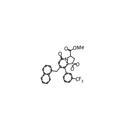 COC(=O)C1CS(=O)(=O)c2c(-c3cccc(C(F)(F)F)c3)c(Cc3cccc4ccccc34)cc(=O)n21